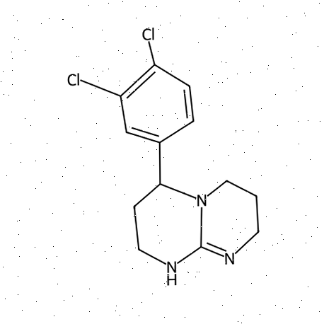 Clc1ccc(C2CCNC3=NCCCN32)cc1Cl